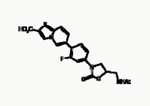 CC(=O)NCC1CN(c2ccc(-c3ccc4nc(C(=O)O)cn4c3)c(F)c2)C(=O)O1